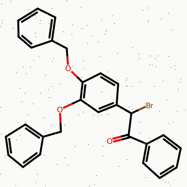 O=C(c1ccccc1)C(Br)c1ccc(OCc2ccccc2)c(OCc2ccccc2)c1